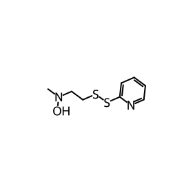 CN(O)CCSSc1ccccn1